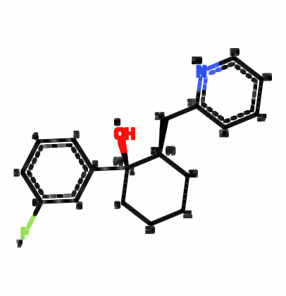 O[C@]1(c2cccc(F)c2)CCCC[C@@H]1Cc1ccccn1